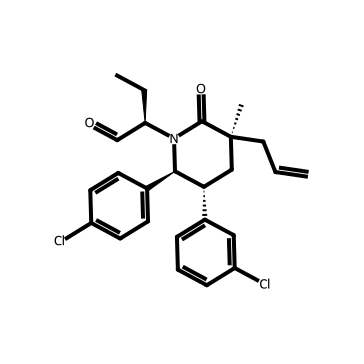 C=CC[C@@]1(C)C[C@H](c2cccc(Cl)c2)[C@@H](c2ccc(Cl)cc2)N([C@@H](C=O)CC)C1=O